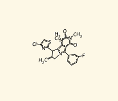 C=C1Cn2c(-c3cccc(F)c3)c3c(=O)n(C)c(=O)n(C)c3c2C1c1nc(Cl)cs1